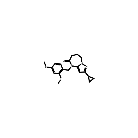 COc1ccc(CN2C(=O)CCCn3nc(C4CC4)cc32)c(OC)c1